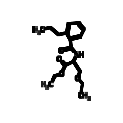 CCCc1ccccc1C(=O)NC(COCC)C(=O)OCC